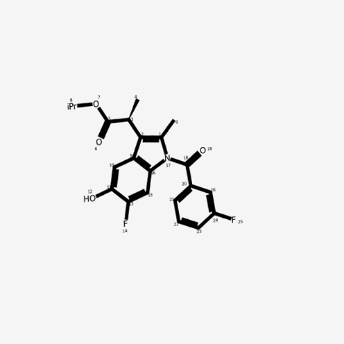 Cc1c([C@H](C)C(=O)OC(C)C)c2cc(O)c(F)cc2n1C(=O)c1cccc(F)c1